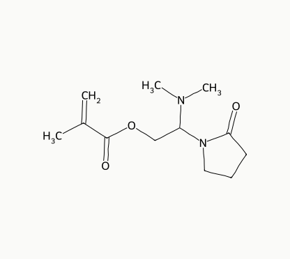 C=C(C)C(=O)OCC(N(C)C)N1CCCC1=O